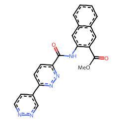 COC(=O)c1cc2ccccc2cc1NC(=O)c1ccc(-c2ccnnc2)nn1